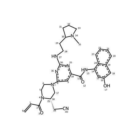 C=CC(=O)N1CCN(c2cc(C(=O)Nc3cc(O)cc4ccccc34)nc(NCCC3CCCN3C)n2)C[C@@H]1CC#N